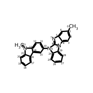 Cc1ccc2c(c1)nc1n(-c3ccc4c(c3)c3ccccc3n4C)c3ccccc3n21